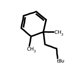 CC1C=CC=CC1(C)CCC(C)(C)C